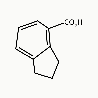 O=C(O)c1cccc2c1CC[CH]2